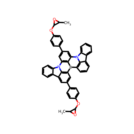 CC1OC1Oc1ccc(-c2cc3c4c(c2)-n2c5ccccc5c5cc(-c6ccc(OC7OC7C)cc6)cc(c52)B4c2cccc4c5ccccc5n-3c24)cc1